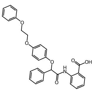 O=C(O)c1ccccc1NC(=O)C(Oc1ccc(OCCOc2ccccc2)cc1)c1ccccc1